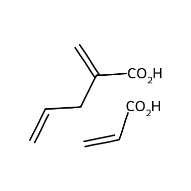 C=CC(=O)O.C=CCC(=C)C(=O)O